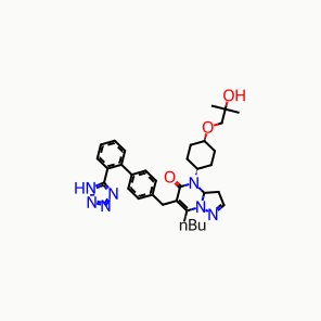 CCCCC1=C(Cc2ccc(-c3ccccc3-c3nnn[nH]3)cc2)C(=O)N([C@H]2CC[C@H](OCC(C)(C)O)CC2)C2CC=NN12